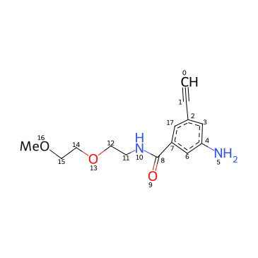 C#Cc1cc(N)cc(C(=O)NCCOCCOC)c1